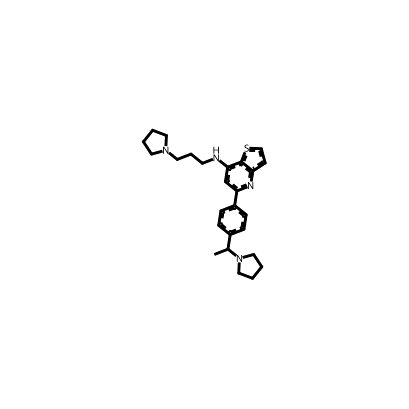 CC(c1ccc(-c2cc(NCCCN3CCCC3)c3sccc3n2)cc1)N1CCCC1